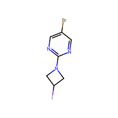 Brc1cnc(N2CC(I)C2)nc1